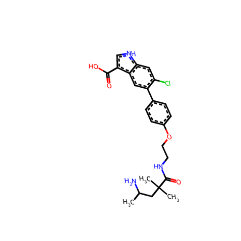 CC(N)CC(C)(C)C(=O)NCCOc1ccc(-c2cc3c(C(=O)O)c[nH]c3cc2Cl)cc1